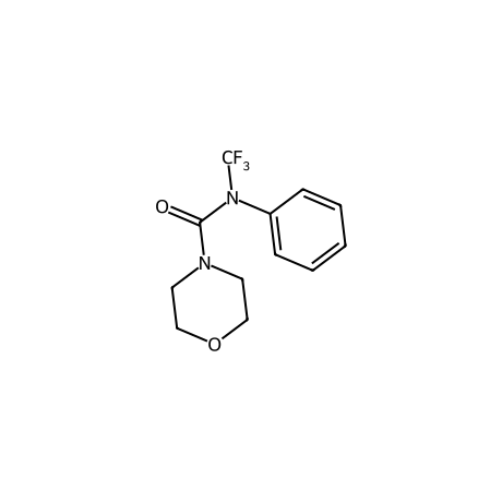 O=C(N1CCOCC1)N(c1ccccc1)C(F)(F)F